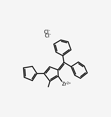 CC1=[C]([Zr+2])C(=C(c2ccccc2)c2ccccc2)C=C1C1=CC=CC1.[Cl-].[Cl-]